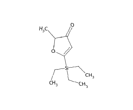 CC[Si](CC)(CC)C1=CC(=O)C(C)O1